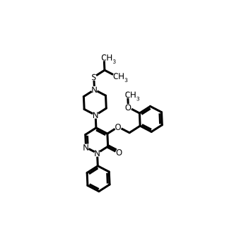 COc1ccccc1COc1c(N2CCN(SC(C)C)CC2)cnn(-c2ccccc2)c1=O